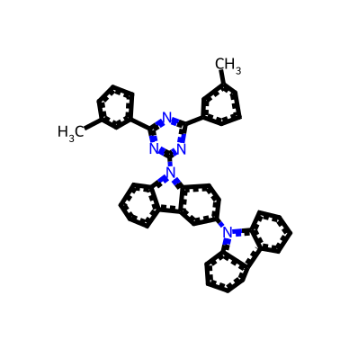 Cc1cccc(-c2nc(-c3cccc(C)c3)nc(-n3c4ccccc4c4cc(-n5c6ccccc6c6ccccc65)ccc43)n2)c1